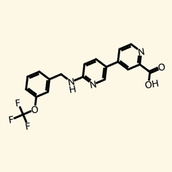 O=C(O)c1cc(-c2ccc(NCc3cccc(OC(F)(F)F)c3)nc2)ccn1